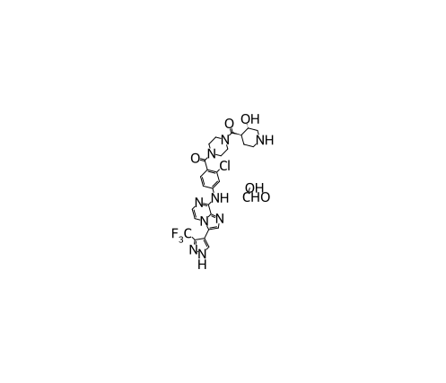 O=C(c1ccc(Nc2nccn3c(-c4c[nH]nc4C(F)(F)F)cnc23)cc1Cl)N1CCN(C(=O)[C@@H]2CCNC[C@H]2O)CC1.O=CO